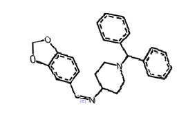 C(=N/C1CCN(C(c2ccccc2)c2ccccc2)CC1)/c1ccc2c(c1)OCO2